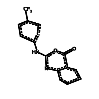 O=c1oc(Nc2ccc(C(F)(F)F)cc2)nc2ccccc12